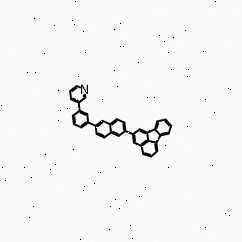 c1cncc(-c2cccc(-c3ccc4cc(-c5cc6c7c(cccc7c5)-c5ccccc5-6)ccc4c3)c2)c1